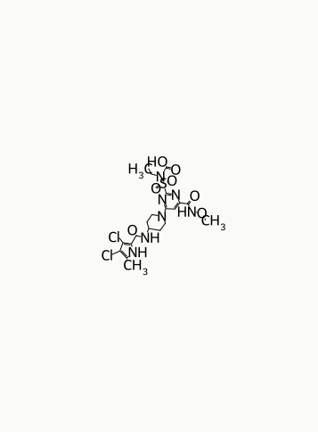 CCN(C(=O)O)S(=O)(=O)c1nc(C(=O)NOC)cc(N2CCC(NC(=O)c3[nH]c(C)c(Cl)c3Cl)CC2)n1